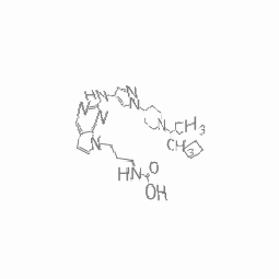 C1CCC1.CC(C)N1CCC(n2cc(Nc3ncc4ccn(CCCNC(=O)O)c4n3)cn2)CC1